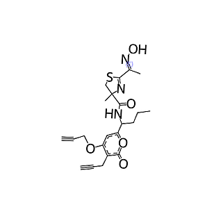 C#CCOc1cc(C(CCC)NC(=O)C2(C)CSC(/C(C)=N/O)=N2)oc(=O)c1CC#C